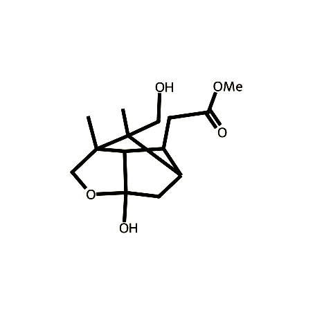 COC(=O)CC1C2CC3(O)OCC(C)(C13)C2(C)CO